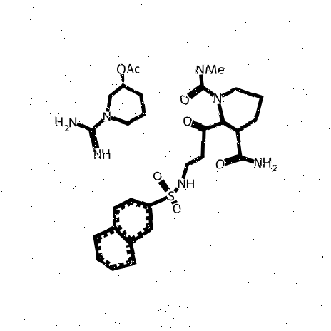 CC(=O)O[C@H]1CCCN(C(=N)N)C1.CNC(=O)N1CCCC(C(N)=O)C1C(=O)CCNS(=O)(=O)c1ccc2ccccc2c1